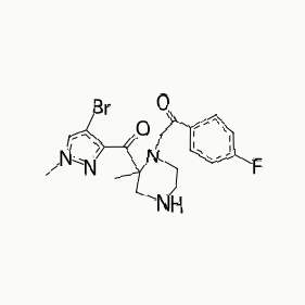 Cn1cc(Br)c(C(=O)C2(C)CNCCN2CC(=O)c2ccc(F)cc2)n1